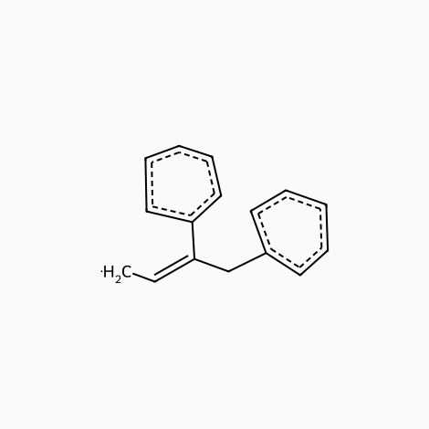 [CH2]C=C(Cc1ccccc1)c1ccccc1